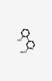 COc1cc(-c2cc[c]cc2O)ccn1